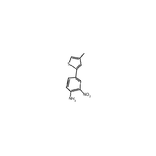 Cc1csc(-c2ccc(N)c([N+](=O)[O-])c2)c1